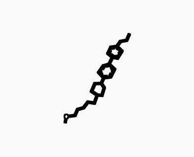 CCCc1ccc(-c2ccc(C3CCC(CCCCCOC)CC3)cc2)cc1